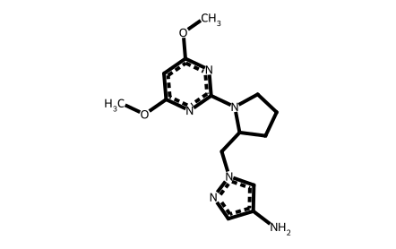 COc1cc(OC)nc(N2CCCC2Cn2cc(N)cn2)n1